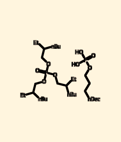 CCCCC(CC)COP(=O)(OCC(CC)CCCC)OCC(CC)CCCC.CCCCCCCCCCCCCOP(=O)(O)O